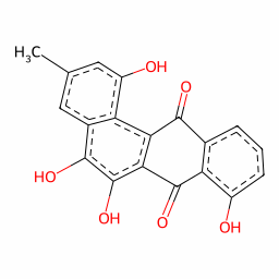 Cc1cc(O)c2c3c(c(O)c(O)c2c1)C(=O)c1c(O)cccc1C3=O